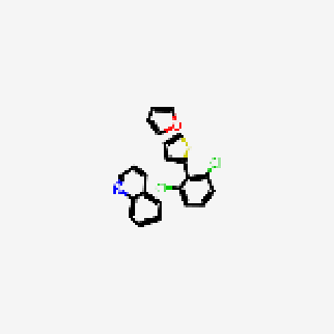 Clc1cccc(Cl)c1-c1cccs1.c1ccc2ncccc2c1.c1ccoc1